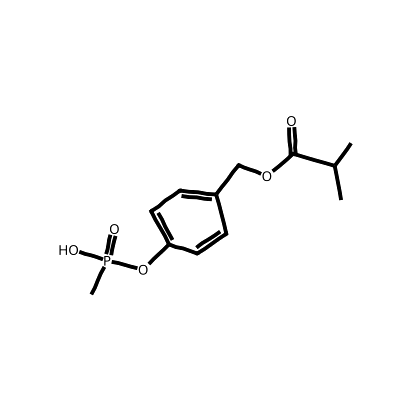 CC(C)C(=O)OCc1ccc(OP(C)(=O)O)cc1